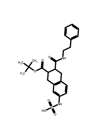 CC(C)(C)OC(=O)C1Cc2cc(NS(=O)(=O)O)ccc2CC1C(=O)NCCc1ccccc1